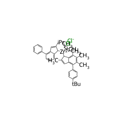 CC1=Cc2c(-c3ccc(C(C)(C)C)cc3)c(C)c(C)c(C)c2[CH]1[Zr+2]([CH]1C(C(C)C)=Cc2c(-c3ccccc3)cccc21)=[Si](C)C.[Cl-].[Cl-]